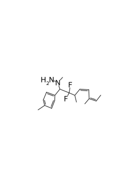 C/C=C(C)\C=C/C(C)C(F)(F)C(c1ccc(C)cc1)N(C)N